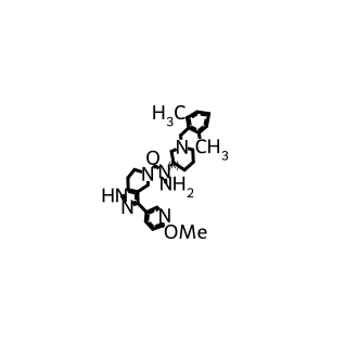 COc1ccc(-c2n[nH]c3c2CN(C(=O)N(N)[C@@H]2CCCN(Cc4c(C)cccc4C)C2)CC3)cn1